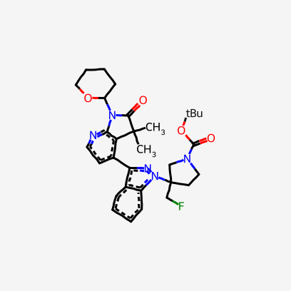 CC(C)(C)OC(=O)N1CCC(CF)(n2nc(-c3ccnc4c3C(C)(C)C(=O)N4C3CCCCO3)c3ccccc32)C1